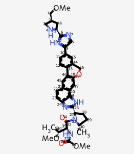 COC[C@@H]1CN[C@H](c2ncc(-c3ccc4c(c3)COc3cc5c(ccc6nc([C@@H]7CC[C@H](C)N7C(=O)[C@@H](NC(=O)OC)[C@@H](C)OC)[nH]c65)cc3-4)[nH]2)C1